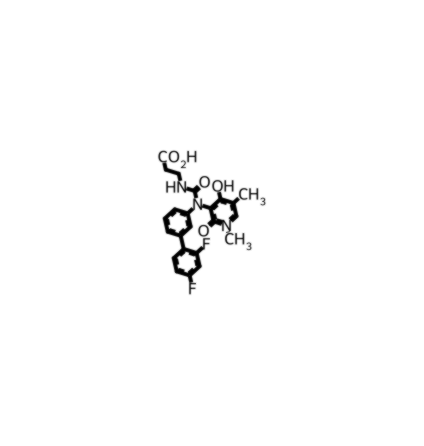 Cc1cn(C)c(=O)c(N(C(=O)NCCC(=O)O)c2cccc(-c3ccc(F)cc3F)c2)c1O